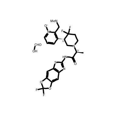 CNCc1c([C@H]2CN([C@@H](C)C(=O)Nc3nc4cc5c(cc4s3)OC(F)(F)O5)CCC2(F)F)ccc[n+]1[O-].O=CO